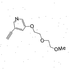 C#Cc1cncc(OCCOCCOC)c1